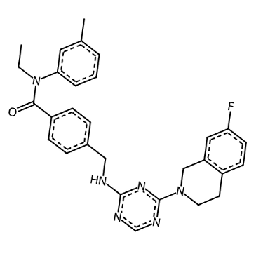 CCN(C(=O)c1ccc(CNc2ncnc(N3CCc4ccc(F)cc4C3)n2)cc1)c1cccc(C)c1